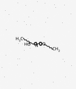 C=CCCCCCCOc1ccc(-c2ccc(CCC(O)CCCCCC)cn2)cc1